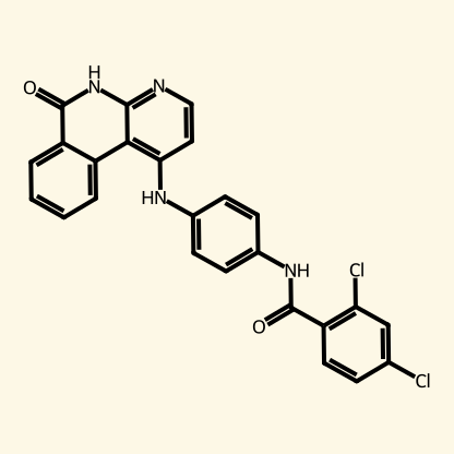 O=C(Nc1ccc(Nc2ccnc3[nH]c(=O)c4ccccc4c23)cc1)c1ccc(Cl)cc1Cl